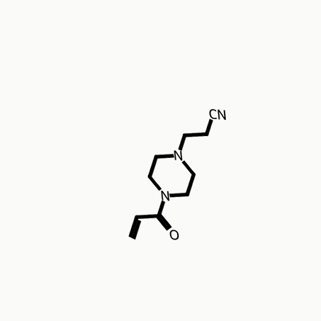 C=CC(=O)N1CCN(CCC#N)CC1